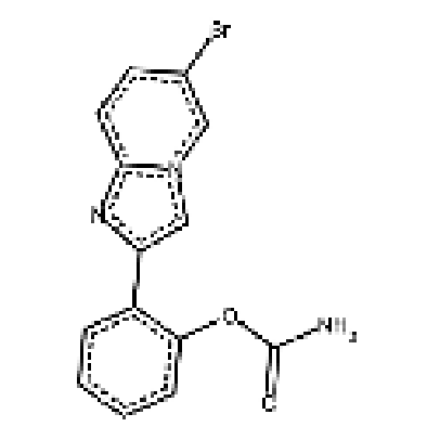 NC(=O)Oc1ccccc1-c1cn2cc(Br)ccc2n1